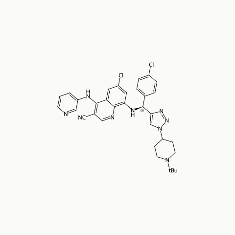 CC(C)(C)N1CCC(n2cc([C@@H](Nc3cc(Cl)cc4c(Nc5cccnc5)c(C#N)cnc34)c3ccc(Cl)cc3)nn2)CC1